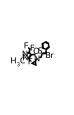 Cn1nc(C(F)F)c(C(=O)N(Cc2sc3ccccc3c2Br)C2CC2)c1F